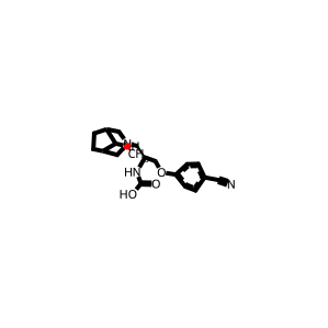 CNC1C2CCC1CN(C[C@@H](COc1ccc(C#N)cc1)NC(=O)O)C2